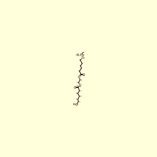 C[PH](=O)OCCCCCC(=O)OCCOC(=O)CCCCCO